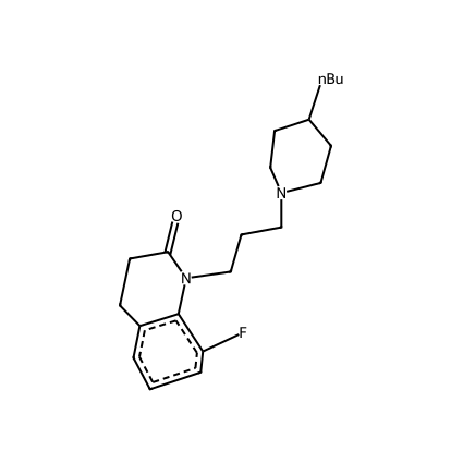 CCCCC1CCN(CCCN2C(=O)CCc3cccc(F)c32)CC1